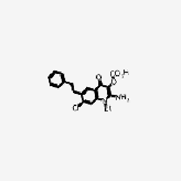 CCn1c(N)c(OC(=O)O)c(=O)c2cc(CCc3ccccc3)c(Cl)cc21